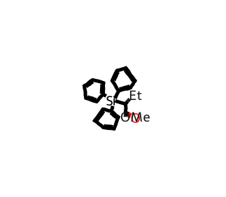 CCC(C(=O)OC)[Si](c1ccccc1)(c1ccccc1)c1ccccc1